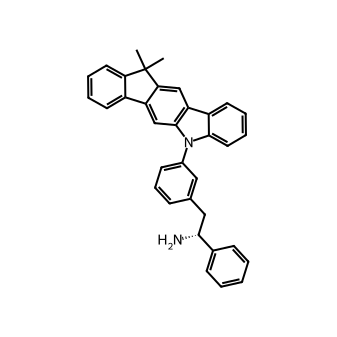 CC1(C)c2ccccc2-c2cc3c(cc21)c1ccccc1n3-c1cccc(C[C@@H](N)c2ccccc2)c1